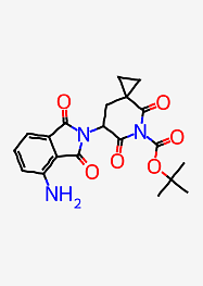 CC(C)(C)OC(=O)N1C(=O)C(N2C(=O)c3cccc(N)c3C2=O)CC2(CC2)C1=O